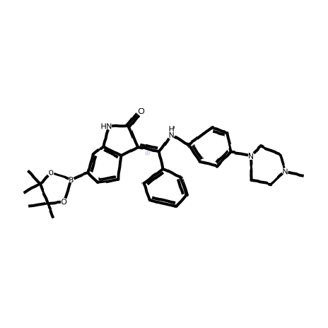 CN1CCN(c2ccc(N/C(=C3\C(=O)Nc4cc(B5OC(C)(C)C(C)(C)O5)ccc43)c3ccccc3)cc2)CC1